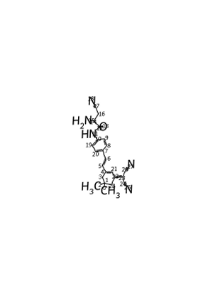 CC1(C)CC(C=Cc2ccc(NC(=O)C(N)CC#N)cc2)=CC(=C(C#N)C#N)C1